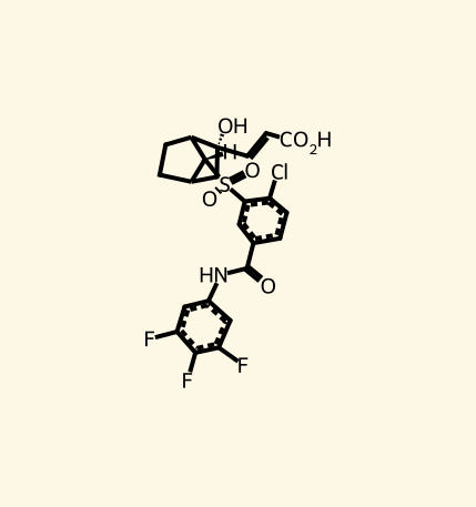 O=C(O)/C=C/[C@@]1(O)CC2CCC1[C@@H]2S(=O)(=O)c1cc(C(=O)Nc2cc(F)c(F)c(F)c2)ccc1Cl